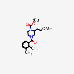 COCCC1CN(C(=O)c2cccc(C)c2C)CCN1C(=O)OC(C)(C)C